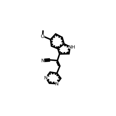 COc1ccc2[nH]cc(C(C#N)=Cc3cncnc3)c2c1